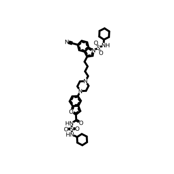 N#Cc1ccc2c(c1)c(CCCCN1CCN(c3ccc4oc(C(=O)NS(=O)(=O)NC5CCCCC5)cc4c3)CC1)cn2S(=O)(=O)NC1CCCCC1